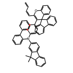 C=C/C=C\C1=C(c2ccc(N(c3ccc4c(c3)C(C)(C)c3ccccc3-4)c3ccccc3-c3ccccc3)cc2)C2(c3ccccc3O1)c1ccccc1-c1ccccc12